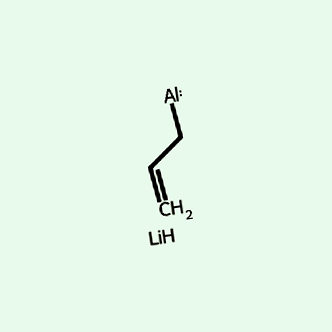 C=C[CH2][Al].[LiH]